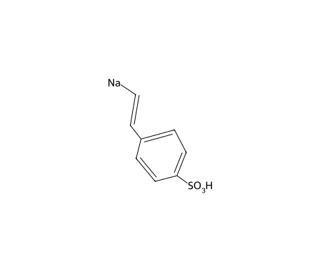 O=S(=O)(O)c1ccc(C=[CH][Na])cc1